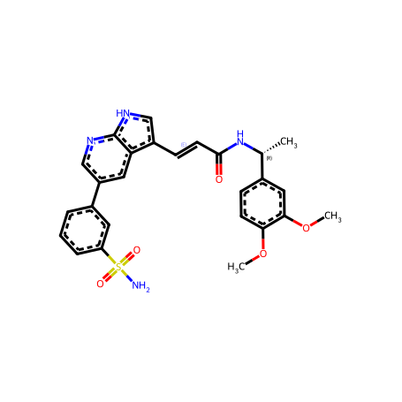 COc1ccc([C@@H](C)NC(=O)/C=C/c2c[nH]c3ncc(-c4cccc(S(N)(=O)=O)c4)cc23)cc1OC